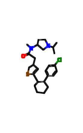 CC(C)N1CCC(N(C)C(=O)CC2C=C(C3CCCCC3c3ccc(Cl)cc3)SC2)C1